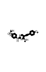 CNc1nc(Nc2ccc([SH](=N)=O)cc2)ncc1C#Cc1ccc(OC)cc1